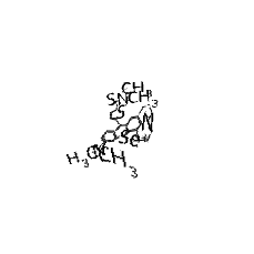 CCN(CC)C(=S)c1ccc(-c2c3ccc(N(C)C)cc3[se+]c3c4c5c(cc23)CCCN5CCC4)s1